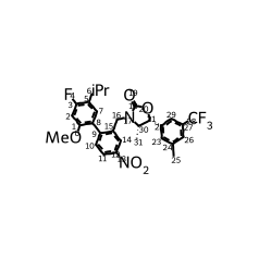 COc1cc(F)c(C(C)C)cc1-c1ccc([N+](=O)[O-])cc1CN1C(=O)O[C@H](c2cc(C)cc(C(F)(F)F)c2)[C@@H]1C